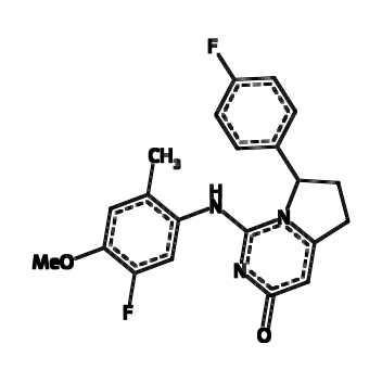 COc1cc(C)c(Nc2nc(=O)cc3n2C(c2ccc(F)cc2)CC3)cc1F